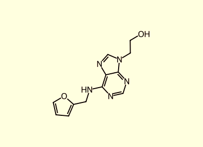 OCCn1cnc2c(NCc3ccco3)ncnc21